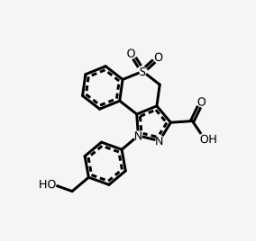 O=C(O)c1nn(-c2ccc(CO)cc2)c2c1CS(=O)(=O)c1ccccc1-2